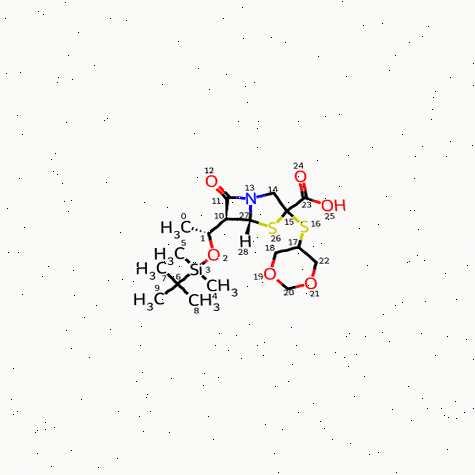 C[C@@H](O[Si](C)(C)C(C)(C)C)[C@H]1C(=O)N2CC(SC3COCOC3)(C(=O)O)S[C@H]12